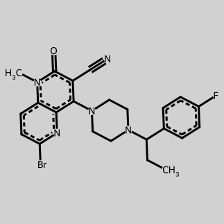 CCC(c1ccc(F)cc1)N1CCN(c2c(C#N)c(=O)n(C)c3ccc(Br)nc23)CC1